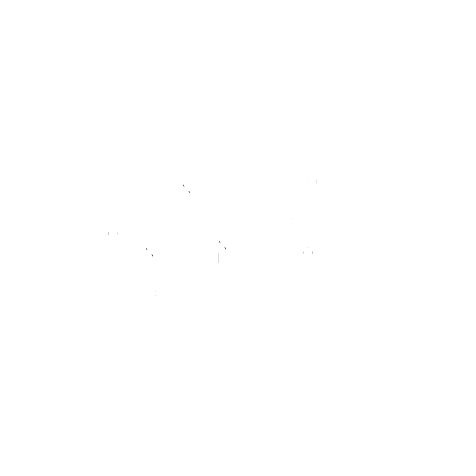 CCOC(=O)c1cnc([N+](=O)[O-])[nH]1